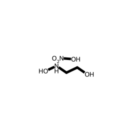 O=[N+]([O-])O.OCCNO